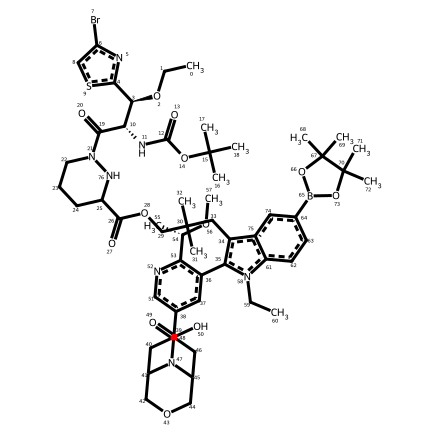 CCO[C@H](c1nc(Br)cs1)[C@H](NC(=O)OC(C)(C)C)C(=O)N1CCCC(C(=O)OCC(C)(C)Cc2c(-c3cc(C4CC5COCC(C4)N5C(=O)O)cnc3[C@H](C)OC)n(CC)c3ccc(B4OC(C)(C)C(C)(C)O4)cc23)N1